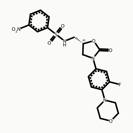 O=C1O[C@@H](CNS(=O)(=O)c2cccc([N+](=O)[O-])c2)CN1c1ccc(N2CCOCC2)c(F)c1